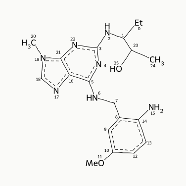 CCC(Nc1nc(NCc2cc(OC)ccc2N)c2ncn(C)c2n1)C(C)O